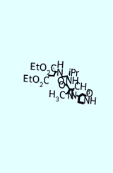 CCOC(=O)CC[C@@H](NC(=O)[C@@H](NC(=O)c1c(C)nn(-c2cc[nH]c(=O)c2)c1C)C(C)C)C(=O)OCC